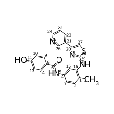 Cc1ccc(NC(=O)c2ccc(O)cc2)cc1Nc1nc(-c2cccnc2)cs1